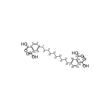 O=C(O)c1ccc(CCCCCCCCCCc2ccc(C(=O)O)c(C(=O)O)c2)cc1C(=O)O